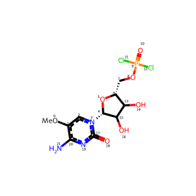 COc1cn([C@@H]2O[C@H](COP(=O)(Cl)Cl)C(O)C2O)c(=O)nc1N